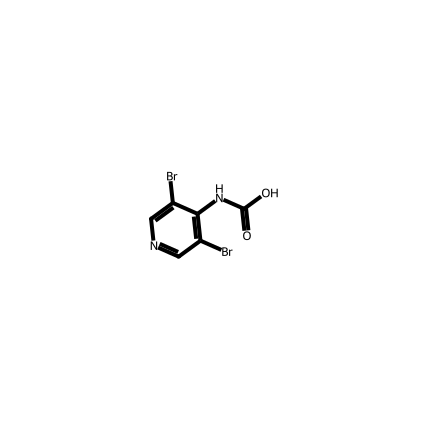 O=C(O)Nc1c(Br)cncc1Br